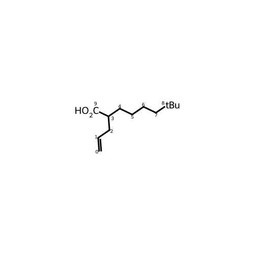 C=CCC(CCCCC(C)(C)C)C(=O)O